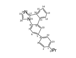 CC(C)c1ccc(-c2ccc3c(c2)c2ccccc2c2nccn32)cc1